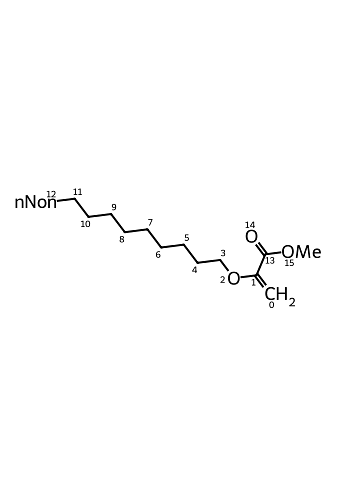 C=C(OCCCCCCCCCCCCCCCCCC)C(=O)OC